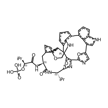 CC(C)[C@H](OP(=O)(O)O)C(=O)N[C@H]1Cc2ccc3c(c2)[C@]24c5cccc(c5NC2O3)-c2cccc3[nH]cc(c23)-c2cnc(o2)-c2nc(oc24)[C@H](C(C)C)NC1=O